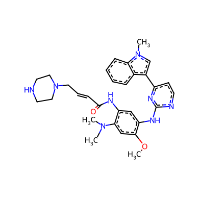 COc1cc(N(C)C)c(NC(=O)/C=C/CN2CCNCC2)cc1Nc1nccc(-c2cn(C)c3ccccc23)n1